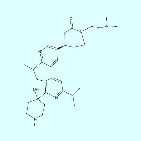 CC(C)c1ccc(CC(C)c2ccc([C@@H]3CCN(CCN(C)C)C(=O)C3)cn2)c(C2(O)CCN(C)CC2)n1